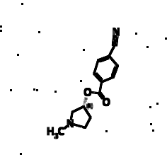 CN1CC[C@@H](OC(=O)c2ccc(C#N)cc2)C1